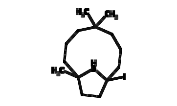 CC1(C)CCCC2(C)BC(I)(CCC1)CC2